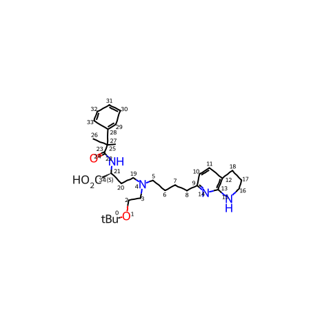 CC(C)(C)OCCN(CCCCc1ccc2c(n1)NCCC2)CC[C@H](NC(=O)C(C)(C)c1ccccc1)C(=O)O